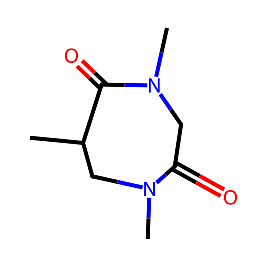 CC1CN(C)C(=O)CN(C)C1=O